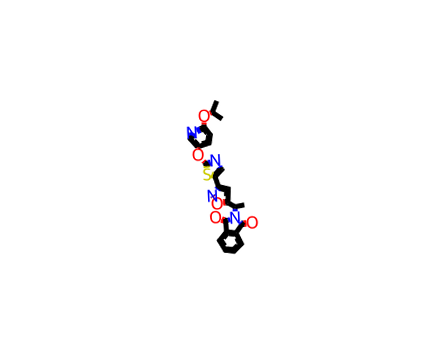 CC(C)Oc1ccc(Oc2ncc(-c3cc(C(C)N4C(=O)c5ccccc5C4=O)on3)s2)cn1